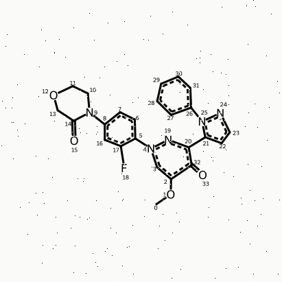 COc1cn(-c2ccc(N3CCOCC3=O)cc2F)nc(-c2ccnn2-c2ccccc2)c1=O